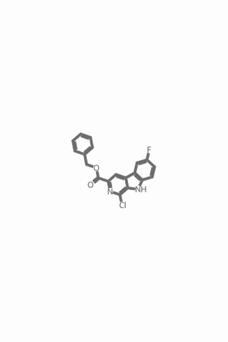 O=C(OCc1ccccc1)c1cc2c([nH]c3ccc(F)cc32)c(Cl)n1